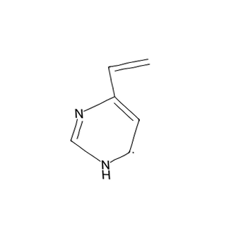 C=CC1=C[CH]NC=N1